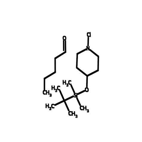 CC(C)(C)[Si](C)(C)OC1CCN(Cl)CC1.CCCCC=O